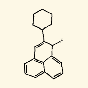 FC1C(C2CCCCC2)=Cc2cccc3cccc1c23